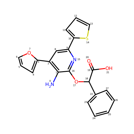 Nc1c(-c2ccco2)cc(-c2cccs2)nc1OC(C(=O)O)c1ccccc1